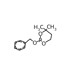 CC1(C)CCOP(OCc2ccccc2)O1